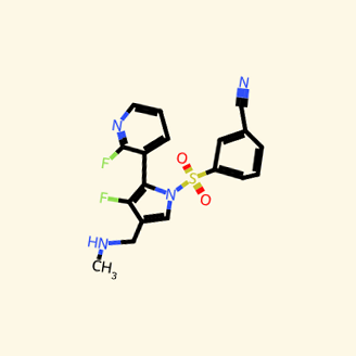 CNCc1cn(S(=O)(=O)c2cccc(C#N)c2)c(-c2cccnc2F)c1F